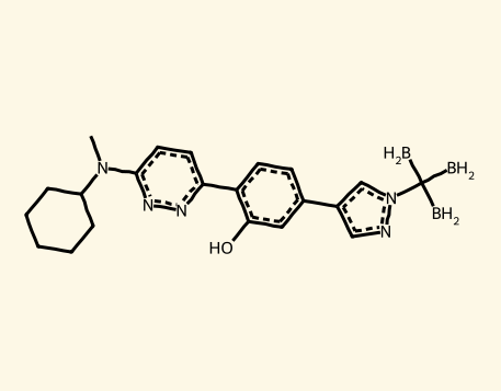 BC(B)(B)n1cc(-c2ccc(-c3ccc(N(C)C4CCCCC4)nn3)c(O)c2)cn1